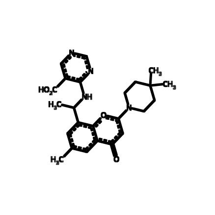 Cc1cc(C(C)Nc2ncncc2C(=O)O)c2oc(N3CCC(C)(C)CC3)cc(=O)c2c1